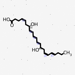 CCC/C=C/C=C\C[C@H](O)/C=C/C=C/C=C/[C@@H](O)C/C=C\CCC(=O)O